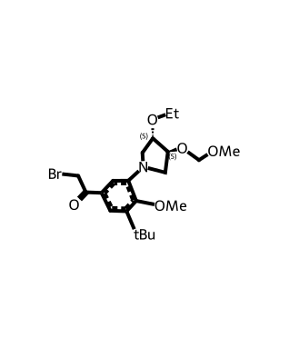 CCO[C@H]1CN(c2cc(C(=O)CBr)cc(C(C)(C)C)c2OC)C[C@@H]1OCOC